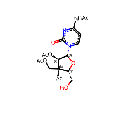 CC(=O)Nc1ccn([C@@H]2O[C@H](CO)[C@@](COC(C)=O)(C(C)=O)[C@H]2OC(C)=O)c(=O)n1